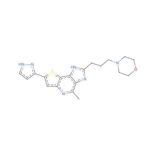 Cc1nc2cc(-c3cc[nH]n3)sc2c2[nH]c(CCCN3CCOCC3)nc12